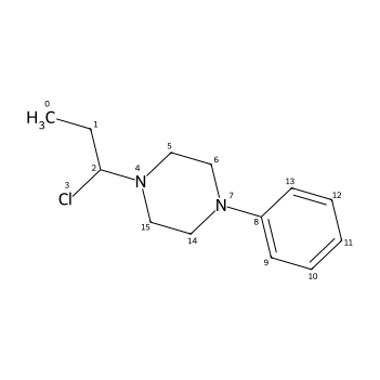 CCC(Cl)N1CCN(c2ccccc2)CC1